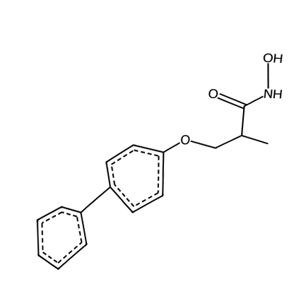 CC(COc1ccc(-c2ccccc2)cc1)C(=O)NO